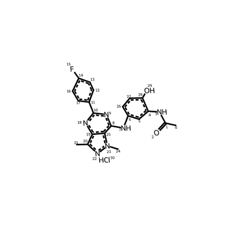 CC(=O)Nc1cc(Nc2nc(-c3ccc(F)cc3)nc3c(C)nn(C)c23)ccc1O.Cl